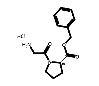 Cl.NCC(=O)N1CCC[C@H]1C(=O)OCc1ccccc1